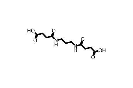 O=C(O)CCC(=O)NCCCNC(=O)CCC(=O)O